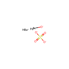 CC(=O)[O-].O=S(=O)([O-])[O-].[BaH+].[Pd+2]